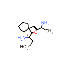 CC(N)C=CC1(C(=O)[C@H](N)CC(=O)O)CCCCC1